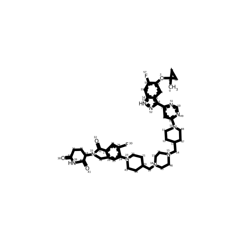 CC1(Oc2cc3c(-c4cc(N5CCC(CN6CCN(CC7CCN(c8cc9c(cc8F)C(=O)N(C8CCC(=O)NC8=O)C9)CC7)CC6)CC5)ncn4)n[nH]c3cc2F)CC1